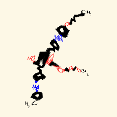 CCCCCCOc1ccc(/N=N/c2ccc(/C=C/c3cc(CO)c(/C=C/c4ccc(/N=N/c5ccc(C)cc5)cc4)cc3OCCOCCOCCOC)cc2)cc1